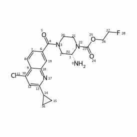 N[C@@H]1CN(C(=O)c2ccc3c(Cl)cc(C4CC4)nc3c2)CCN1C(=O)OCCF